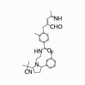 CC(=N)/C=C(\C=O)Cc1ccc(C(=O)NCCN2C(c3cccc(F)c3)CCC2C(C)(C)C#N)cc1C